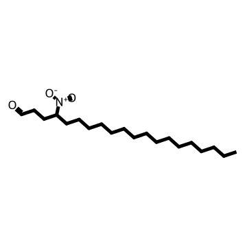 CCCCCCCCCCCCCCCCC(CCC=O)[N+](=O)[O-]